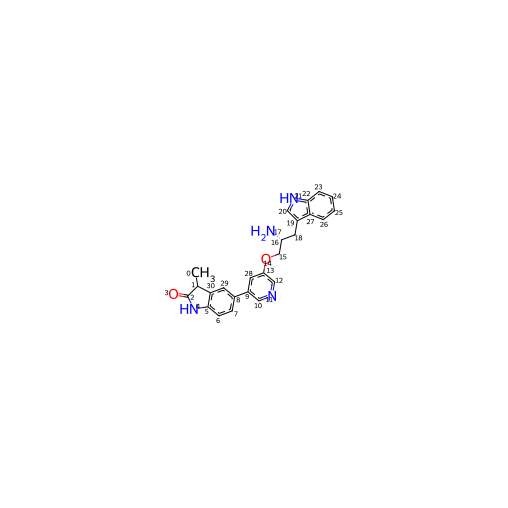 CC1C(=O)Nc2ccc(-c3cncc(OC[C@H](N)Cc4c[nH]c5ccccc45)c3)cc21